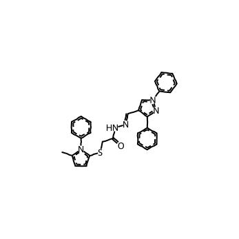 Cc1ccc(SCC(=O)N/N=C/c2cn(-c3ccccc3)nc2-c2ccccc2)n1-c1ccccc1